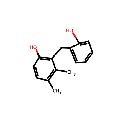 Cc1ccc(O)c(Cc2ccccc2O)c1C